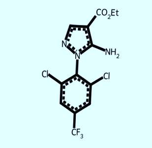 CCOC(=O)c1cnn(-c2c(Cl)cc(C(F)(F)F)cc2Cl)c1N